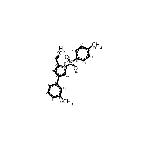 C=Cc1cc(-c2cccc(C)c2)cn1S(=O)(=O)c1ccc(C)cc1